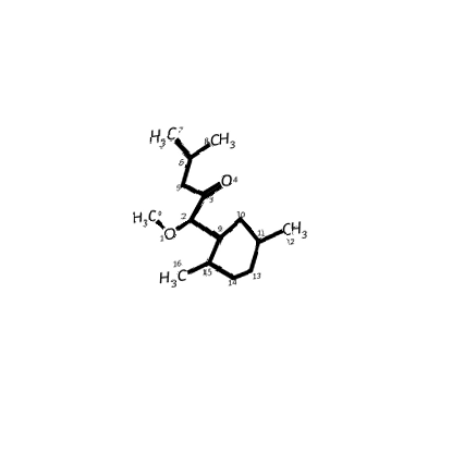 COC(C(=O)CC(C)C)C1CC(C)C[CH]C1C